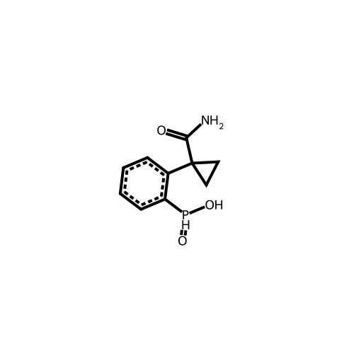 NC(=O)C1(c2ccccc2[PH](=O)O)CC1